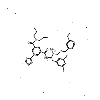 CCCN(CCC)C(=O)c1cc(C(=O)N[C@@H](Cc2cc(F)cc(F)c2)C(N)COCc2cccc(CC)c2)cc(-c2nccs2)c1